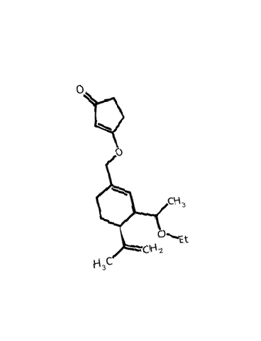 C=C(C)[C@H]1CCC(COC2=CC(=O)CC2)=CC1C(C)OCC